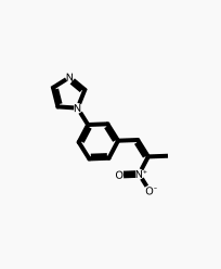 CC(=Cc1cccc(-n2ccnc2)c1)[N+](=O)[O-]